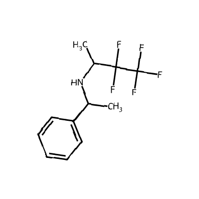 CC(NC(C)C(F)(F)C(F)(F)F)c1ccccc1